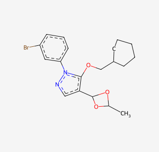 CC1OC(c2cnn(-c3cccc(Br)c3)c2OCC2CCCCC2)O1